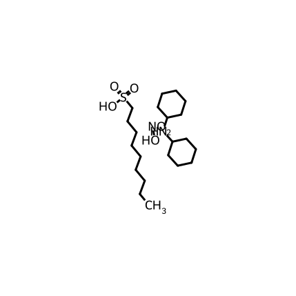 C1CCC(NC2CCCCC2)CC1.CCCCCCCCCS(=O)(=O)O.O=[N+]([O-])O